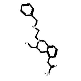 CC(C)CC1Cc2c(CC(N)=O)cccc2CN1CCNCc1ccccc1